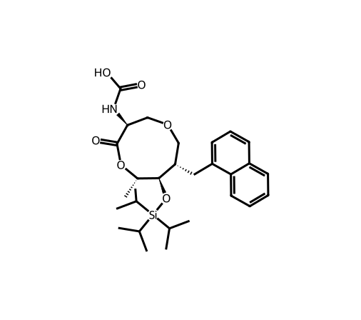 CC(C)[Si](O[C@@H]1[C@@H](Cc2cccc3ccccc23)COC[C@H](NC(=O)O)C(=O)O[C@H]1C)(C(C)C)C(C)C